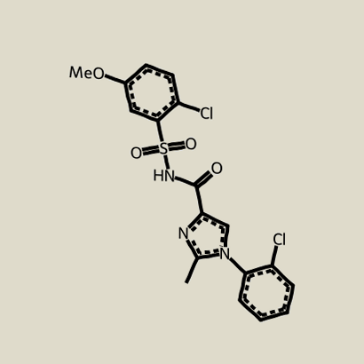 COc1ccc(Cl)c(S(=O)(=O)NC(=O)c2cn(-c3ccccc3Cl)c(C)n2)c1